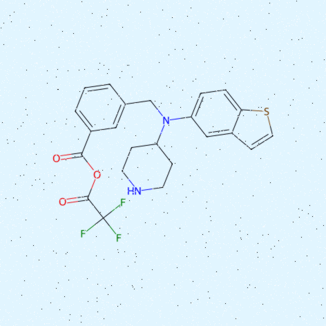 O=C(OC(=O)C(F)(F)F)c1cccc(CN(c2ccc3sccc3c2)C2CCNCC2)c1